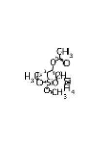 CO[Si](CCOC(C)=O)(OC)OC.[SiH4]